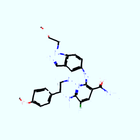 COCCn1ncc2cc(Nc3nc(N[C@H](c4ccc(OC)cc4)[C@H](C)N)c(F)cc3C(N)=O)ccc21